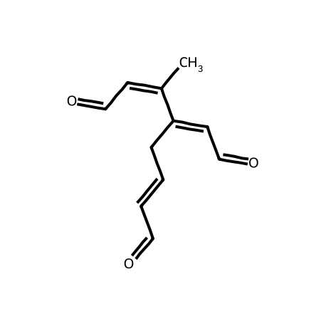 CC(=CC=O)C(=CC=O)CC=CC=O